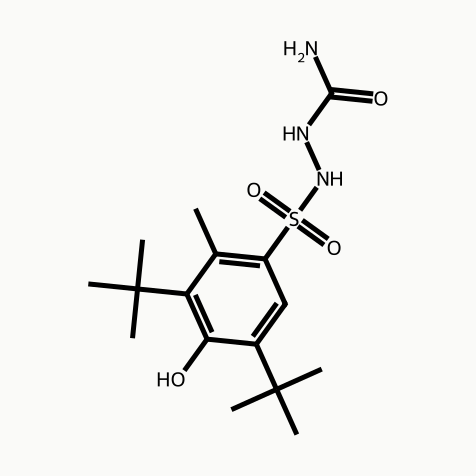 Cc1c(S(=O)(=O)NNC(N)=O)cc(C(C)(C)C)c(O)c1C(C)(C)C